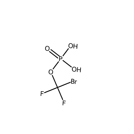 O=P(O)(O)OC(F)(F)Br